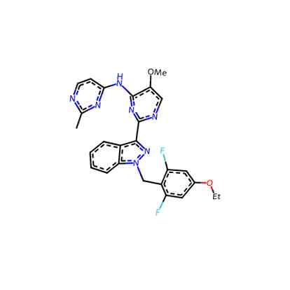 CCOc1cc(F)c(Cn2nc(-c3ncc(OC)c(Nc4ccnc(C)n4)n3)c3ccccc32)c(F)c1